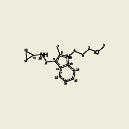 COCCCn1c(C)c(CNC2CC2)c2ccccc21